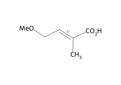 COC/C=C(\C)C(=O)O